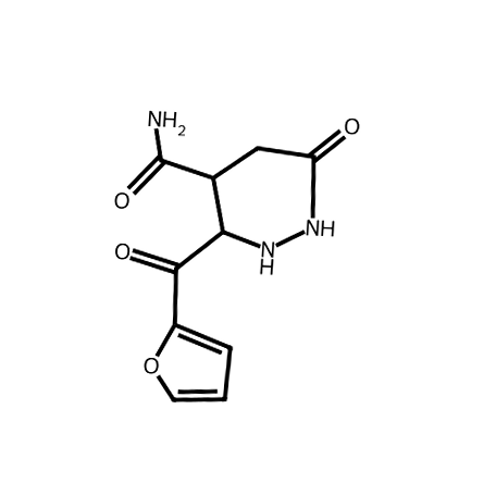 NC(=O)C1CC(=O)NNC1C(=O)c1ccco1